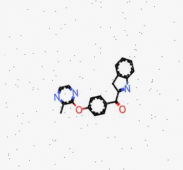 Cc1nccnc1Oc1ccc(C(=O)C2=Nc3ccccc3C2)cc1